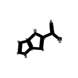 CCC(=O)c1cc2sccc2s1